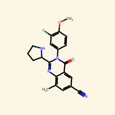 COc1ccc(-n2c(C3CCCN3)nc3c(C)cc(C#N)cc3c2=O)cc1F